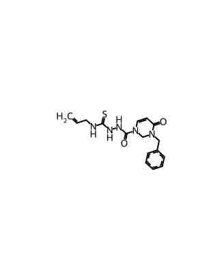 C=CCNC(=S)NNC(=O)N1C=CC(=O)N(Cc2ccccc2)C1